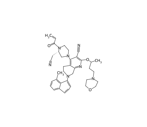 C=CC(=O)N1CCN(c2c(C#N)c(OC(C)CCN3CCOCC3)nc3c2CCN(c2cccc4cccc(C)c24)C3)C[C@@H]1CC#N